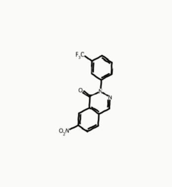 O=c1c2cc([N+](=O)[O-])ccc2cnn1-c1cccc(C(F)(F)F)c1